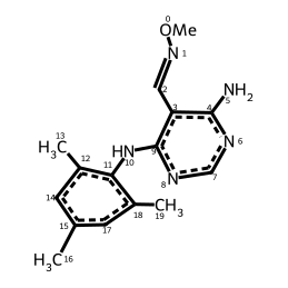 CON=Cc1c(N)ncnc1Nc1c(C)cc(C)cc1C